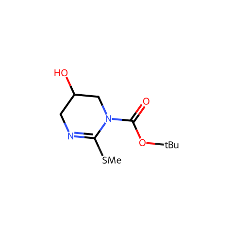 CSC1=NCC(O)CN1C(=O)OC(C)(C)C